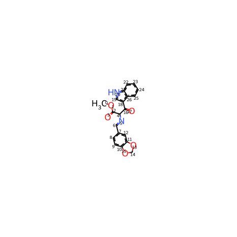 COC(=O)C(N=Cc1ccc2c(c1)OCO2)C(=O)c1c[nH]c2ccccc12